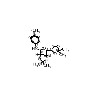 Cc1ccc(N[C@H]2O[C@H]([C@H]3COC(C)(C)O3)[C@@H]3OC(C)(C)O[C@@H]32)cc1